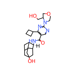 O=C(N[C@H]1C2CC3CC1C[C@@](O)(C3)C2)c1cnc(N2CCOCC2CO)nc1C1CCC1